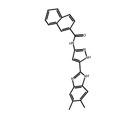 Cc1cc2nc(-c3cc(NC(=O)c4ccc5ccccc5c4)n[nH]3)[nH]c2cc1C